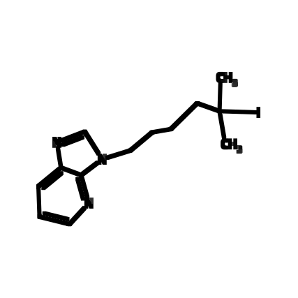 CC(C)(I)CCCCn1cnc2cccnc21